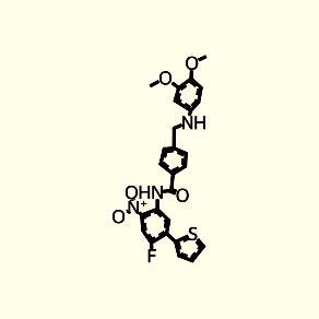 COc1ccc(NCc2ccc(C(=O)Nc3cc(-c4cccs4)c(F)cc3[N+](=O)[O-])cc2)cc1OC